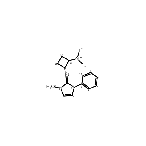 Cn1ccn(-c2ccccc2)[c]1=[Pt].IN(I)C1CCC1